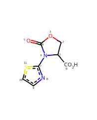 O=C(O)C1COC(=O)N1c1nccs1